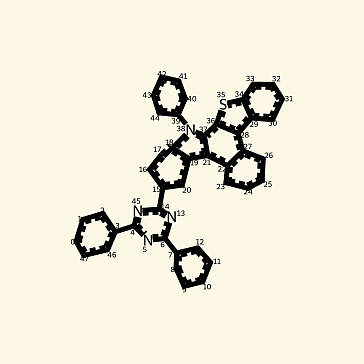 c1ccc(-c2nc(-c3ccccc3)nc(-c3ccc4c(c3)c3c5ccccc5c5c6ccccc6sc5c3n4-c3ccccc3)n2)cc1